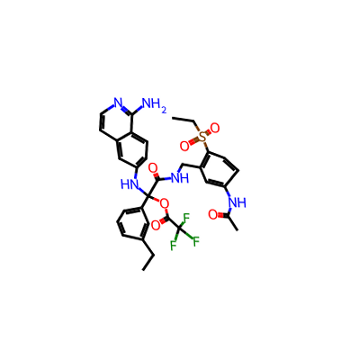 CCc1cccc(C(Nc2ccc3c(N)nccc3c2)(OC(=O)C(F)(F)F)C(=O)NCc2cc(NC(C)=O)ccc2S(=O)(=O)CC)c1